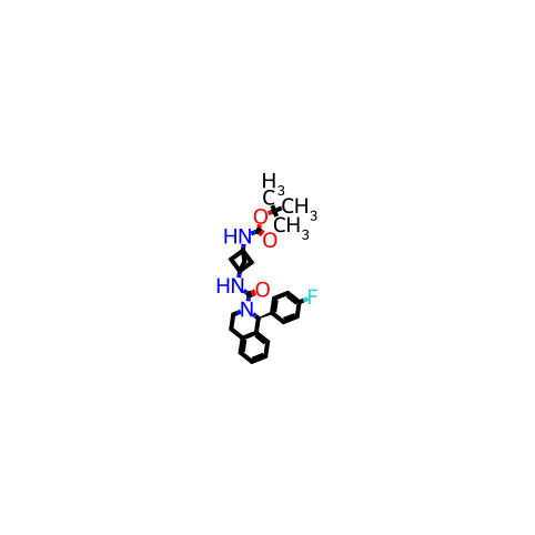 CC(C)(C)OC(=O)NC12CC(NC(=O)N3CCc4ccccc4[C@@H]3c3ccc(F)cc3)(C1)C2